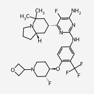 CC1(C)C[C@H](c2nc(Nc3ccc(O[C@@H]4CCN(C5COC5)C[C@H]4F)c(C(F)(F)F)c3)nc(N)c2F)C[C@@H]2CCCN21